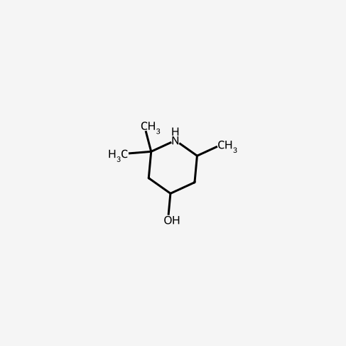 CC1CC(O)CC(C)(C)N1